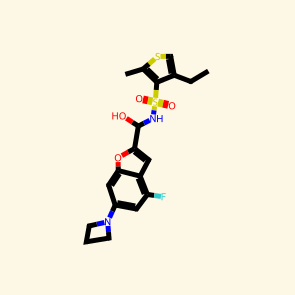 CCc1csc(C)c1S(=O)(=O)NC(O)c1cc2c(F)cc(N3CCC3)cc2o1